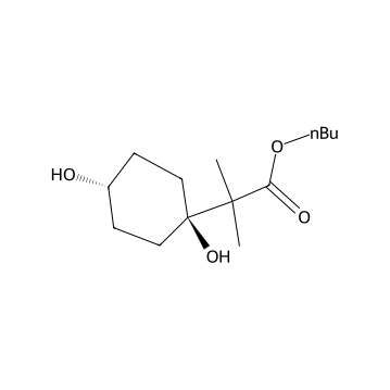 CCCCOC(=O)C(C)(C)[C@]1(O)CC[C@H](O)CC1